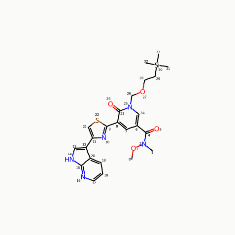 CON(C)C(=O)c1cc(-c2nc(-c3c[nH]c4ncccc34)cs2)c(=O)n(COCC[Si](C)(C)C)c1